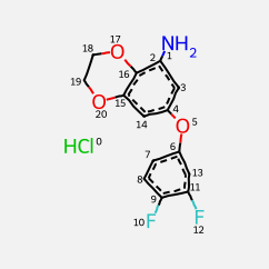 Cl.Nc1cc(Oc2ccc(F)c(F)c2)cc2c1OCCO2